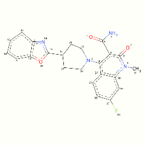 Cn1c(=O)c(C(N)=O)c(N2CCC(c3nc4ccccc4o3)CC2)c2ccc(F)cc21